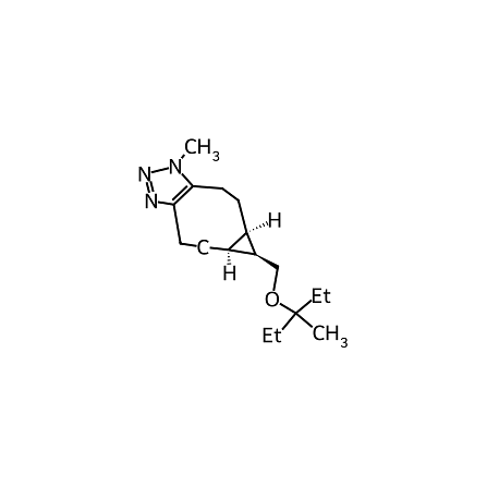 CCC(C)(CC)OC[C@@H]1[C@@H]2CCc3c(nnn3C)CC[C@@H]21